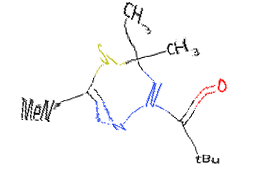 CNC1=NN(C(=O)C(C)(C)C)C(C)(C)S1